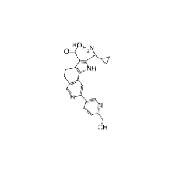 NC(c1[nH]c2c(c1C(=O)O)CCc1cnc(-c3ccc(CO)nc3)cc1-2)C1CC1